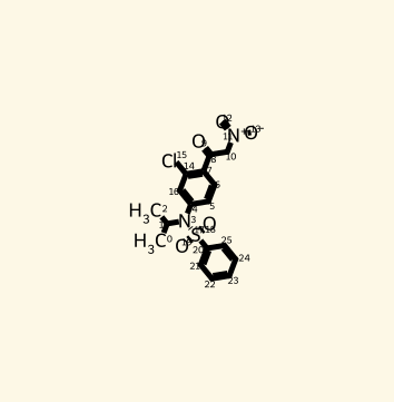 CC(C)N(c1ccc(C(=O)C[N+](=O)[O-])c(Cl)c1)S(=O)(=O)c1ccccc1